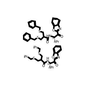 CCC[C@H](NC(=O)C(CSCC(C)C)CSCC(C)C)C(=O)c1nc2ccccc2o1.CCC[C@H](NC(=O)C(CSCc1ccccc1)CSCc1ccccc1)C(=O)c1nc2ccccc2o1